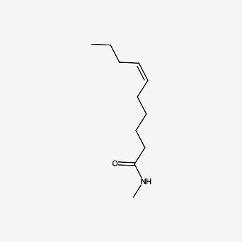 CCC/C=C\CCCCC(=O)NC